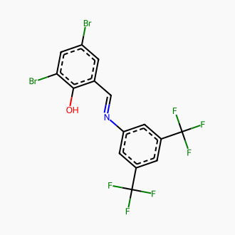 Oc1c(Br)cc(Br)cc1C=Nc1cc(C(F)(F)F)cc(C(F)(F)F)c1